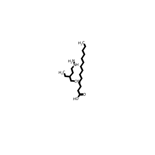 CCC(CC)CCNN.CCCCCCCCCCCCCC(=O)O